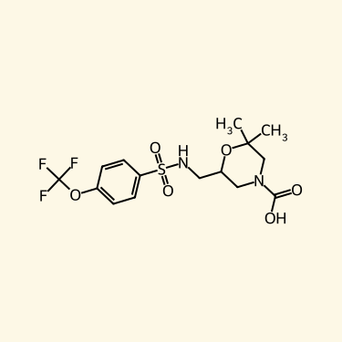 CC1(C)CN(C(=O)O)CC(CNS(=O)(=O)c2ccc(OC(F)(F)F)cc2)O1